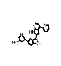 Oc1cncc(-c2ccc3[nH]nc(-c4cc5c(-c6ccccn6)ccnc5[nH]4)c3c2)c1